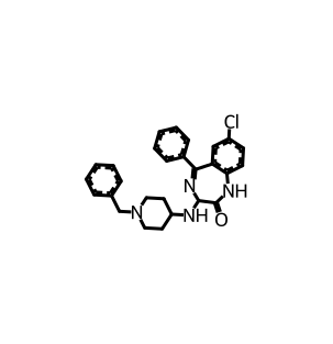 O=C1Nc2ccc(Cl)cc2C(c2ccccc2)=NC1NC1CCN(Cc2ccccc2)CC1